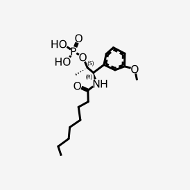 CCCCCCCC(=O)N[C@H](c1cccc(OC)c1)[C@H](C)OP(=O)(O)O